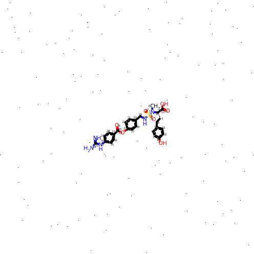 CN([C@@H](CCc1ccc(O)cc1)C(=O)O)S(=O)(=O)NCc1ccc(OC(=O)c2ccc(NC(=N)N)cc2)cc1